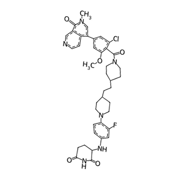 COc1cc(-c2cn(C)c(=O)c3cnccc23)cc(Cl)c1C(=O)N1CCC(CCC2CCN(c3ccc(NC4CCC(=O)NC4=O)cc3F)CC2)CC1